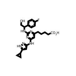 O=C(O)CCCCc1cc(Nc2cc(C3CC3)[nH]n2)nc(NC(CO)c2ccc(F)cc2)n1